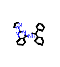 c1ccc(C(CNc2nc(-n3cccn3)nc3ccccc23)c2ccccc2)cc1